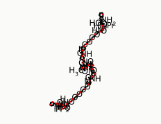 CC(C)C[C@H](NC(=O)[C@@H](O)[C@H](N)Cc1ccccc1)C(=O)NCCOCCOCCOCCOCCOc1ccc(C(=O)Nc2ccc3oc(-c4ccc(=O)n(Cc5cc(=O)n(C)nc5-c5nc6cc(NC(=O)c7ccc(OCCOCCOCCOCCNC(=O)[C@H](CC(C)C)NC(=O)[C@@H](O)[C@H](N)Cc8ccccc8)cn7)ccc6o5)n4)nc3c2)nc1